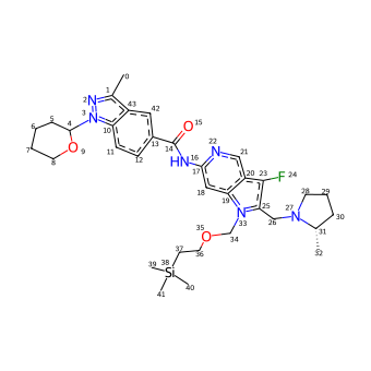 Cc1nn(C2CCCCO2)c2ccc(C(=O)Nc3cc4c(cn3)c(F)c(CN3CCC[C@@H]3C)n4COCC[Si](C)(C)C)cc12